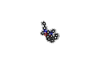 c1ccc(-c2ccc(N(c3ccccc3)c3ccc(N(c4ccccc4)c4ccc(-c5ccccc5)c(-c5cccc6ccccc56)c4)c4c3oc3cc5ccccc5cc34)cc2)cc1